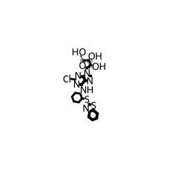 OC[C@H]1O[C@@H](n2cnc3c(NC4CCCCC4Sc4nc5ccccc5s4)nc(Cl)nc32)[C@H](O)[C@@H]1O